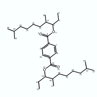 CCC(OC(=O)c1ccc(C(=O)OC(CC)C(C)CCCCC(C)C)cc1)C(C)CCCCC(C)C